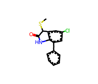 CSC1C(=O)Nc2c(-c3ccccc3)cc(Cl)cc21